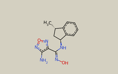 C[C@H]1C[C@H](N/C(=N\O)c2nonc2N)c2ccccc21